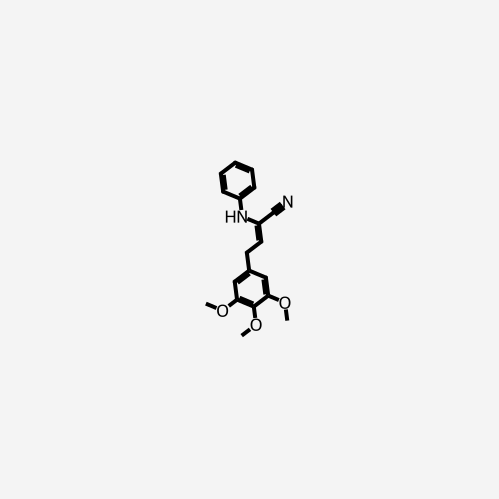 COc1cc(CC=C(C#N)Nc2ccccc2)cc(OC)c1OC